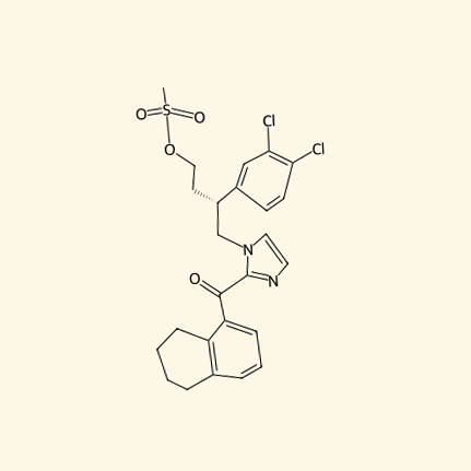 CS(=O)(=O)OCC[C@@H](Cn1ccnc1C(=O)c1cccc2c1CCCC2)c1ccc(Cl)c(Cl)c1